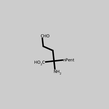 CCCCCC(N)(CCC=O)C(=O)O